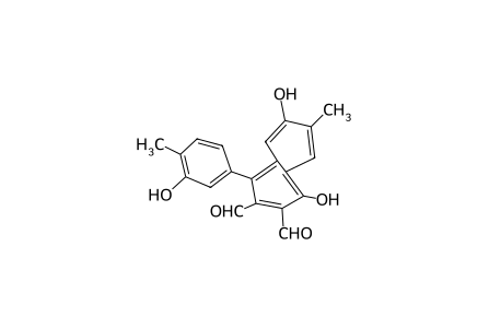 Cc1ccc(-c2c(C=O)c(C=O)c(O)c3cc(C)c(O)cc23)cc1O